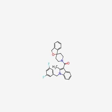 Cc1c(C(=O)N2CCC3(CC2)OCc2ccccc23)c2ccccc2n1Cc1cc(F)cc(F)c1